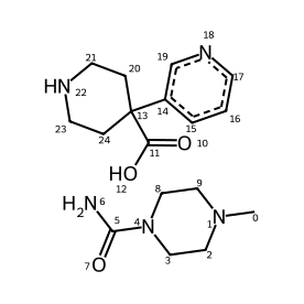 CN1CCN(C(N)=O)CC1.O=C(O)C1(c2cccnc2)CCNCC1